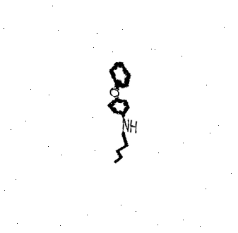 CCCCCNc1ccc(Oc2ccccc2)cc1